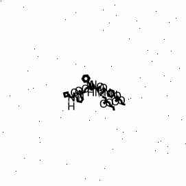 CCCOC(=O)CC[C@H](NC(=O)c1cc(OCC(=O)N2CCC[C@H]2C(=O)NC2CCC2)n(-c2ccccc2)n1)C(=O)N1CCN(OC(=O)OCC)CC1